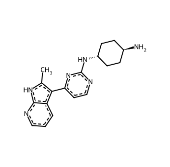 Cc1[nH]c2ncccc2c1-c1ccnc(N[C@H]2CC[C@H](N)CC2)n1